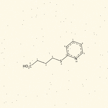 O=C(O)CCCSc1ccccn1